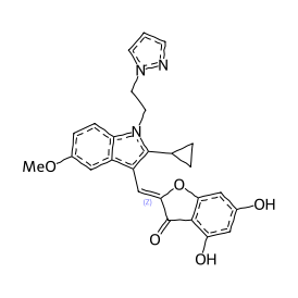 COc1ccc2c(c1)c(/C=C1\Oc3cc(O)cc(O)c3C1=O)c(C1CC1)n2CCn1cccn1